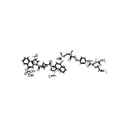 CN(CCN(C)C(=O)Oc1cc2c(c3ccccc13)[C@H](CCl)CN2C(=O)C12CC(C(=O)N3C[C@@H](CCl)c4c3cc(OP(=O)(O)O)c3ccccc43)(C1)C2)C(=O)OCc1ccc(NC(=O)[C@H](CCCN)NC(N)=O)cc1